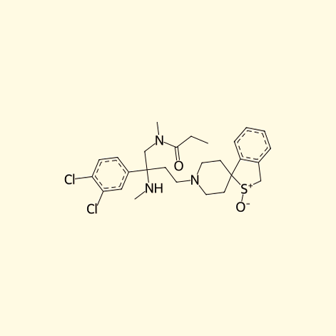 CCC(=O)N(C)CC(CCN1CCC2(CC1)c1ccccc1C[S+]2[O-])(NC)c1ccc(Cl)c(Cl)c1